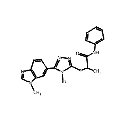 CCn1c(SC(C)C(=O)Nc2ccccc2)nnc1-c1ccc2ncn(C)c2c1